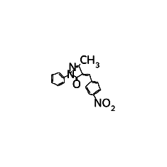 CC1=NN(c2ccccc2)C(=O)C1=Cc1ccc([N+](=O)[O-])cc1